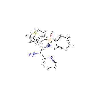 NC(c1ccccn1)C(NP(=O)(c1ccccc1)c1ccccc1)c1ccsc1